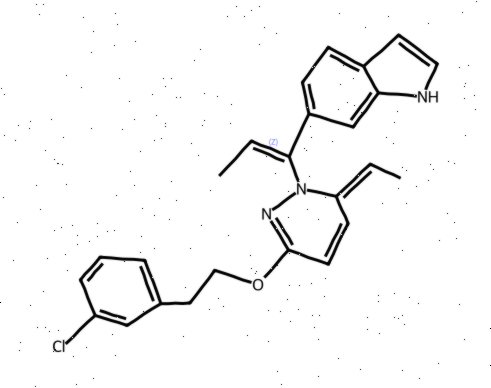 CC=C1C=CC(OCCc2cccc(Cl)c2)=NN1/C(=C\C)c1ccc2cc[nH]c2c1